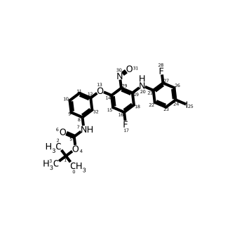 CC(C)(C)OC(=O)Nc1cccc(Oc2cc(F)cc(Nc3ccc(I)cc3F)c2N=O)c1